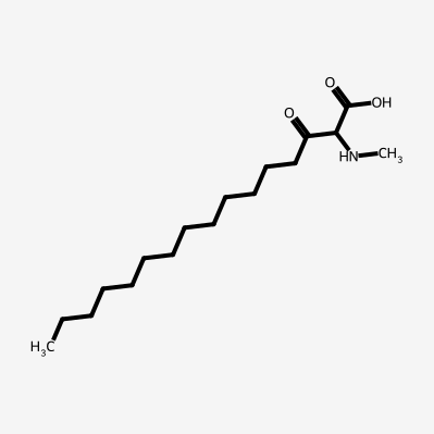 CCCCCCCCCCCCCC(=O)C(NC)C(=O)O